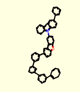 C1=CCC=C(c2cccc(-c3cccc(-c4cccc(-c5ccc6oc7ccc(-n8c9ccccc9c9cc(-c%10ccccc%10)ccc98)cc7c6c5)c4)c3)c2)C=C1